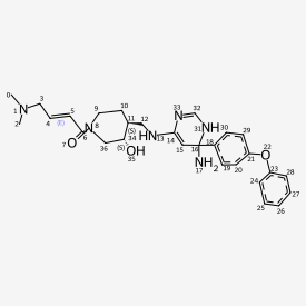 CN(C)C/C=C/C(=O)N1CC[C@@H](CNC2=CC(N)(c3ccc(Oc4ccccc4)cc3)NC=N2)[C@H](O)C1